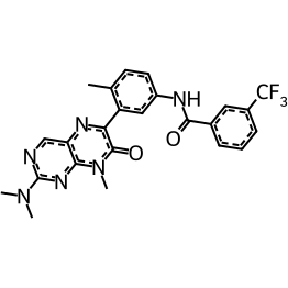 Cc1ccc(NC(=O)c2cccc(C(F)(F)F)c2)cc1-c1nc2cnc(N(C)C)nc2n(C)c1=O